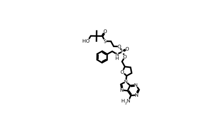 CC(C)(CO)C(=O)SCCOP(=O)(NCc1ccccc1)OCC1CCC(n2cnc3c(N)ncnc32)O1